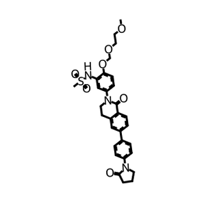 COCCOCOc1ccc(N2CCc3cc(-c4ccc(N5CCCC5=O)cc4)ccc3C2=O)cc1NS(C)(=O)=O